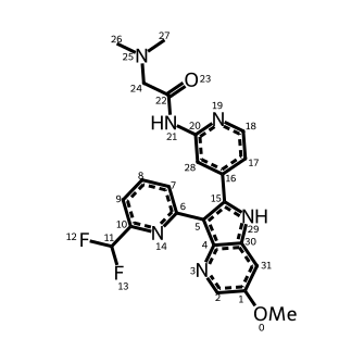 COc1cnc2c(-c3cccc(C(F)F)n3)c(-c3ccnc(NC(=O)CN(C)C)c3)[nH]c2c1